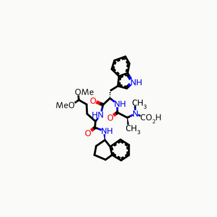 COC(CCC(NC(=O)[C@H](Cc1c[nH]c2ccccc12)NC(=O)[C@H](C)N(C)C(=O)O)C(=O)N[C@@H]1CCCc2ccccc21)OC